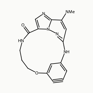 CNc1cc2nn3c(cnc13)C(=O)NCCCOc1c#ccc(c1)N2